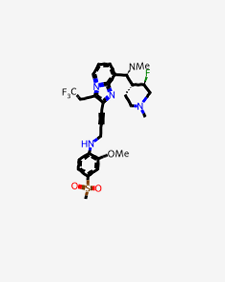 CN[C@@H](c1cccn2c(CC(F)(F)F)c(C#CCNc3ccc(S(C)(=O)=O)cc3OC)nc12)[C@H]1CCN(C)C[C@@H]1F